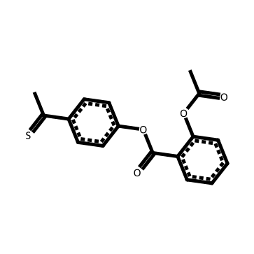 CC(=O)Oc1ccccc1C(=O)Oc1ccc(C(C)=S)cc1